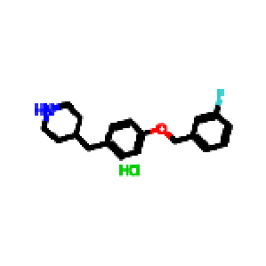 Cl.Fc1cccc(COc2ccc(CC3CCNCC3)cc2)c1